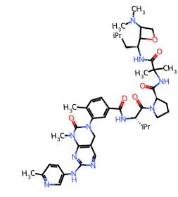 Cc1ccc(Nc2ncc3c(n2)N(C)C(=O)N(c2cc(C(=O)N[C@H](C(=O)N4CCC[C@@H]4C(=O)NC(C)(C)C(=O)N[C@@H](CC(C)C)C4OCC4N(C)C)C(C)C)ccc2C)C3)cn1